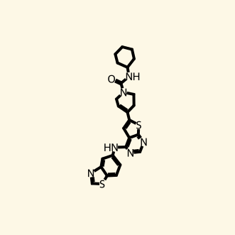 O=C(NC1CCCCC1)N1CC=C(c2cc3c(Nc4ccc5scnc5c4)ncnc3s2)CC1